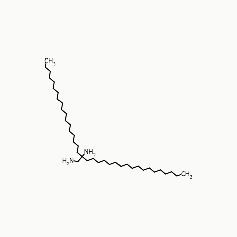 CCCCCCCCCCCCCCCCCCC(N)(CN)CCCCCCCCCCCCCCCCCC